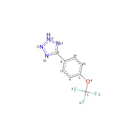 FC(F)(F)Oc1ccc(-c2nn[nH]n2)cc1